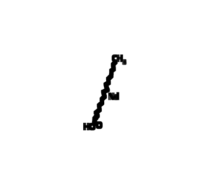 CCCCCCCCCCCCCCCCCC=CC(=O)O.[Nd]